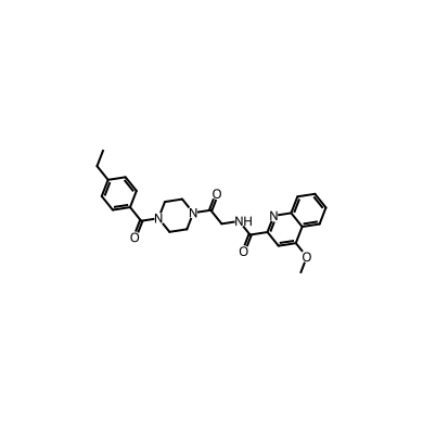 CCc1ccc(C(=O)N2CCN(C(=O)CNC(=O)c3cc(OC)c4ccccc4n3)CC2)cc1